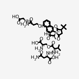 CC(C)[C@H](N)C(=O)OC[C@H](N)C(=O)O.C[C@@H](C(=O)O)[N+]1(c2ccc3ccccc3c2)C(=O)CC(C(C)(C)C)C1=O.NC(=O)CCO.NC(=O)C[C@H](N)C(=O)O.NCC(=O)O